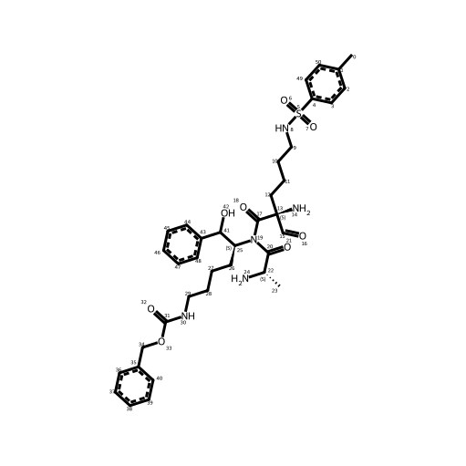 Cc1ccc(S(=O)(=O)NCCCC[C@](N)(C=O)C(=O)N(C(=O)[C@H](C)N)[C@@H](CCCCNC(=O)OCc2ccccc2)C(O)c2ccccc2)cc1